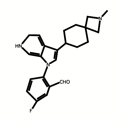 CN1CC2(CCC(c3cn(-c4ccc(F)cc4C=O)c4c3=CCNC=4)CC2)C1